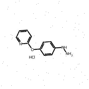 Cl.NNc1ccc(Oc2ccccn2)cc1